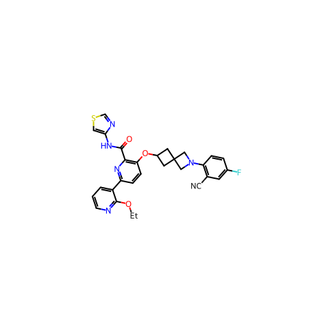 CCOc1ncccc1-c1ccc(OC2CC3(C2)CN(c2ccc(F)cc2C#N)C3)c(C(=O)Nc2cscn2)n1